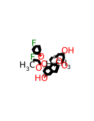 CCC(Oc1ccc(F)cc1F)C(=O)O[C@H]1C[C@H](O)C=C2C=C[C@H](C)[C@H](CC[C@@H]3C[C@@H](O)CC(=O)O3)[C@H]21